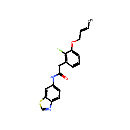 CCCC=CCOc1cccc(CC(=O)Nc2ccc3ncsc3c2)c1F